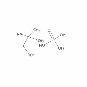 CC(C)C[C](C)(O)[Na].O=P(O)(O)O